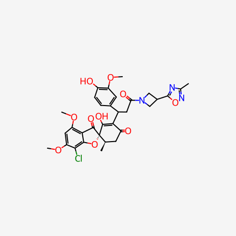 COc1cc(C(CC(=O)N2CC(c3nc(C)no3)C2)C2=C(O)[C@@]3(Oc4c(Cl)c(OC)cc(OC)c4C3=O)[C@H](C)CC2=O)ccc1O